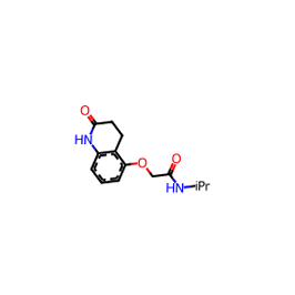 CC(C)NC(=O)COc1cccc2c1CCC(=O)N2